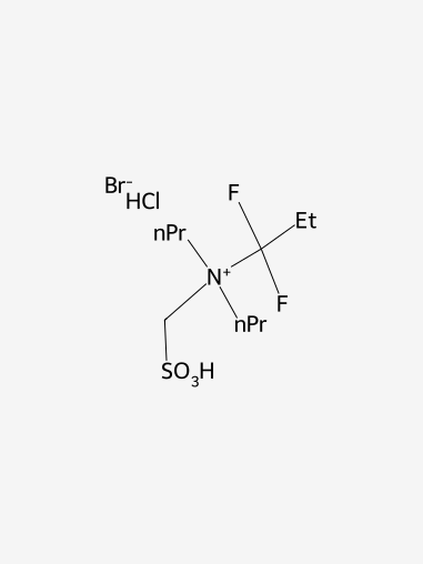 CCC[N+](CCC)(CS(=O)(=O)O)C(F)(F)CC.Cl.[Br-]